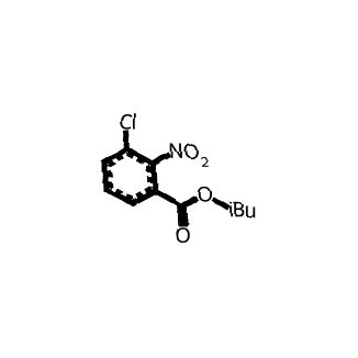 CCC(C)OC(=O)c1cccc(Cl)c1[N+](=O)[O-]